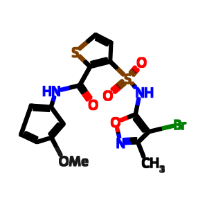 COc1cccc(NC(=O)c2sccc2S(=O)(=O)Nc2onc(C)c2Br)c1